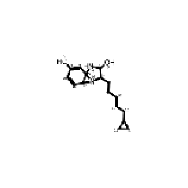 OC1=CC23NC(O)C(CCCCCC4CC4)N2C3C=C1